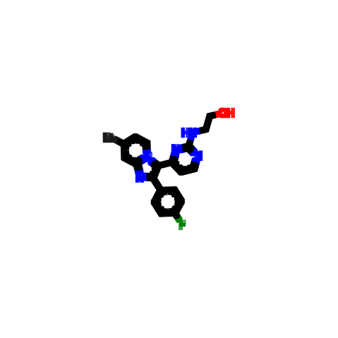 CCc1ccn2c(-c3ccnc(NCCO)n3)c(-c3ccc(F)cc3)nc2c1